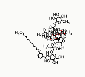 CCCCCCCCCCCOc1cccc(C(=O)NC2C(OCC(CC)(CO)OC(OC3C(CO)O[C@@H](O[C@@H](C)C(CO)O[C@@H](OC4C(CO[C@@H]5OC(C)C(O)C(O)C5O)OC[C@@H](NC(C)=O)[C@H]4O)C(O)NC(C)=O)[C@@H](NC(C)=O)[C@H]3O)C(O)NC(C)=O)OC(CO)[C@@H](O)C2O)c1